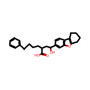 O=C(O)C(CCCCc1ccccc1)CC(O)c1ccc2c3c(oc2c1)CCCC3